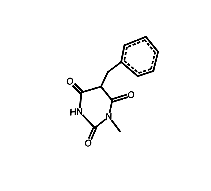 CN1C(=O)NC(=O)C(Cc2ccccc2)C1=O